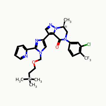 C[C@H]1CN(c2ccc(C(F)(F)F)c(Cl)c2)C(=O)c2c(-c3cn(COCC[Si](C)(C)C)c(-c4ccccn4)n3)cnn21